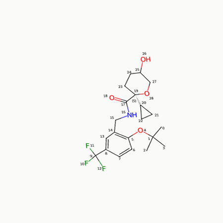 CC(C)(C)Oc1ccc(C(F)(F)F)cc1CNC(=O)[C@@]1(C2CC2)CCC(O)CO1